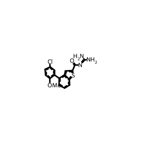 COc1ccc(Cl)cc1-c1cccc2sc(C(=O)N=C(N)N)cc12